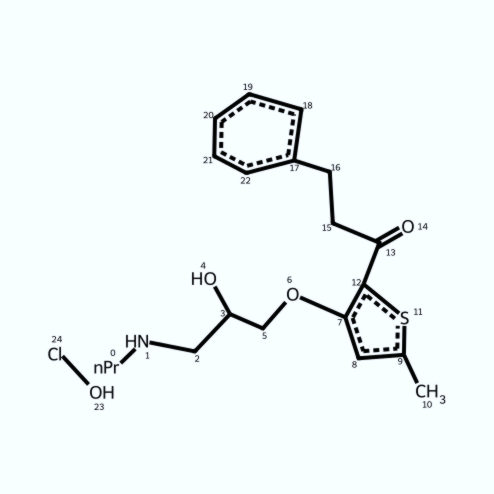 CCCNCC(O)COc1cc(C)sc1C(=O)CCc1ccccc1.OCl